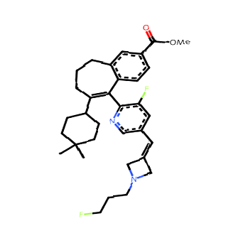 COC(=O)c1ccc2c(c1)CCCC(C1CCC(C)(C)CC1)=C2c1ncc(C=C2CN(CCCF)C2)cc1F